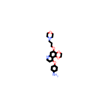 Nc1ccc(Oc2ccnc3cc(OCCCN4CCOCC4)c4c(c23)OCCO4)cc1